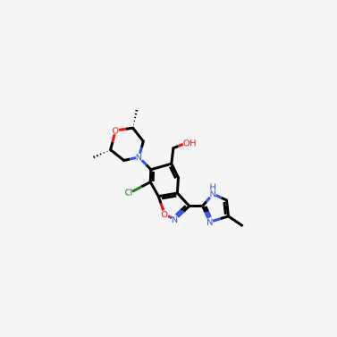 Cc1c[nH]c(-c2noc3c(Cl)c(N4C[C@@H](C)O[C@@H](C)C4)c(CO)cc23)n1